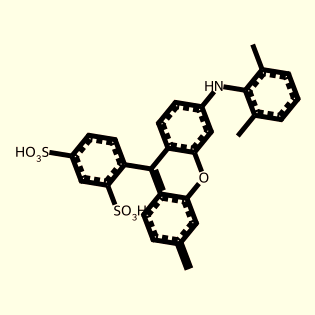 C=c1ccc2c(c1)Oc1cc(Nc3c(C)cccc3C)ccc1C=2c1ccc(S(=O)(=O)O)cc1S(=O)(=O)O